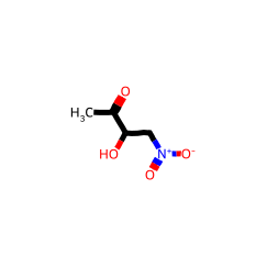 CC(=O)C(O)C[N+](=O)[O-]